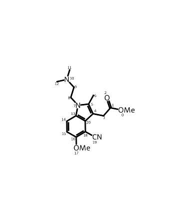 COC(=O)Cc1c(C)n(CCN(C)C)c2ccc(OC)c(C#N)c12